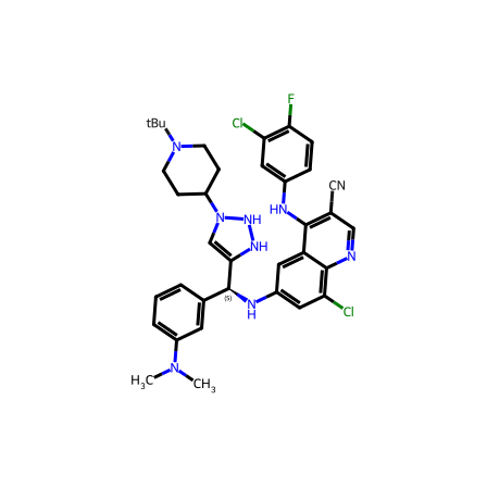 CN(C)c1cccc([C@H](Nc2cc(Cl)c3ncc(C#N)c(Nc4ccc(F)c(Cl)c4)c3c2)C2=CN(C3CCN(C(C)(C)C)CC3)NN2)c1